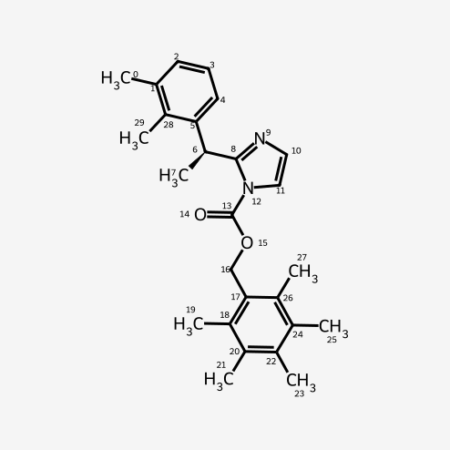 Cc1cccc([C@H](C)c2nccn2C(=O)OCc2c(C)c(C)c(C)c(C)c2C)c1C